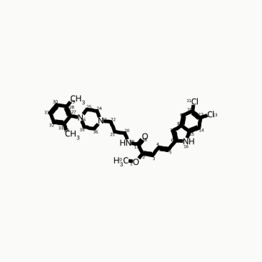 CO/C(=C/C=C/c1cc2cc(Cl)c(Cl)cc2[nH]1)C(=O)NCCCN1CCN(c2c(C)cccc2C)CC1